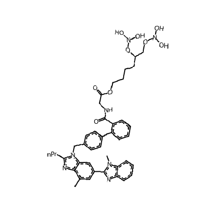 CCCc1nc2c(C)cc(-c3nc4ccccc4n3C)cc2n1Cc1ccc(-c2ccccc2C(=O)NCC(=O)OCCCCC(CON(O)O)ON(O)O)cc1